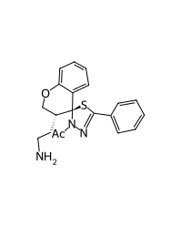 CC(=O)N1N=C(c2ccccc2)S[C@@]12c1ccccc1OC[C@H]2CCN